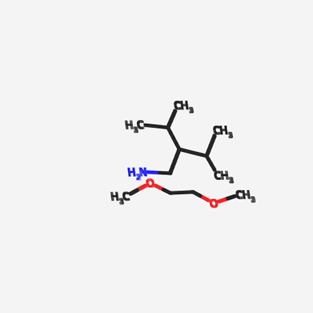 CC(C)C(CN)C(C)C.COCCOC